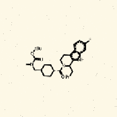 CC(C)CC1c2[nH]c3cc(F)ccc3c2CCN1C(=O)[C@H]1CC[C@H](CN(C)C(=O)OC(C)(C)C)CC1